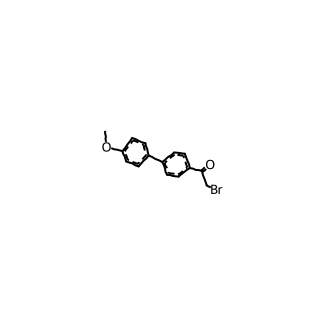 COc1ccc(-c2ccc(C(=O)CBr)cc2)cc1